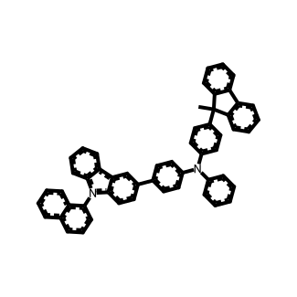 CC1(c2ccc(N(c3ccccc3)c3ccc(-c4ccc5c(c4)c4ccccc4n5-c4cccc5ccccc45)cc3)cc2)c2ccccc2-c2ccccc21